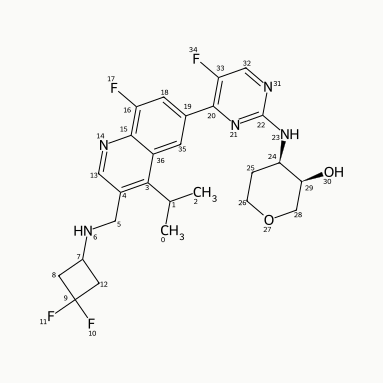 CC(C)c1c(CNC2CC(F)(F)C2)cnc2c(F)cc(-c3nc(N[C@@H]4CCOC[C@@H]4O)ncc3F)cc12